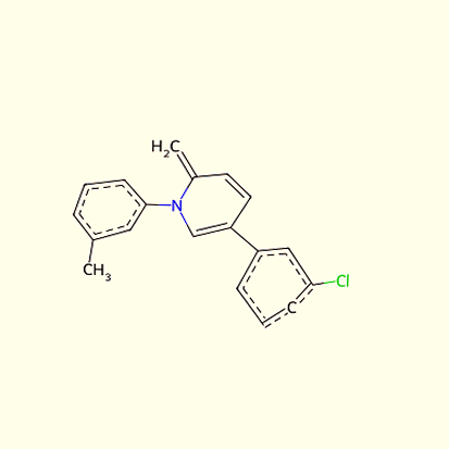 C=C1C=CC(c2cccc(Cl)c2)=CN1c1cccc(C)c1